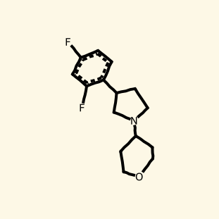 Fc1ccc(C2CCN(C3CCOCC3)C2)c(F)c1